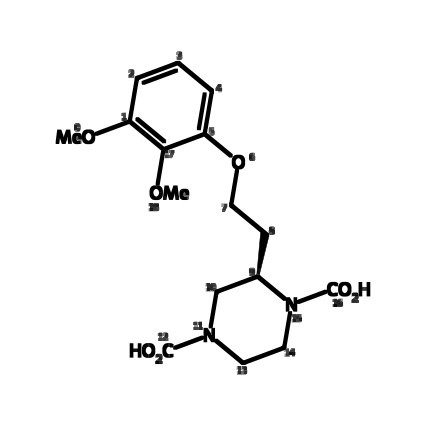 COc1cccc(OCC[C@@H]2CN(C(=O)O)CCN2C(=O)O)c1OC